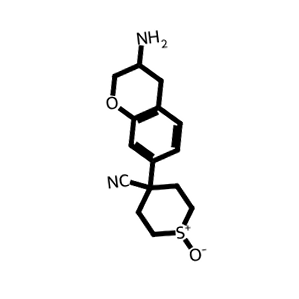 N#CC1(c2ccc3c(c2)OCC(N)C3)CC[S+]([O-])CC1